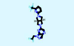 FC(F)Cn1ncc2ncc(N3C[C@H]4CN(c5cccc(C(F)(F)F)n5)C[C@H]4C3)nc21